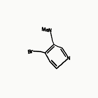 CNc1cnccc1Br